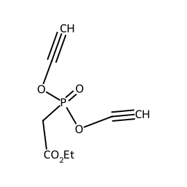 C#COP(=O)(CC(=O)OCC)OC#C